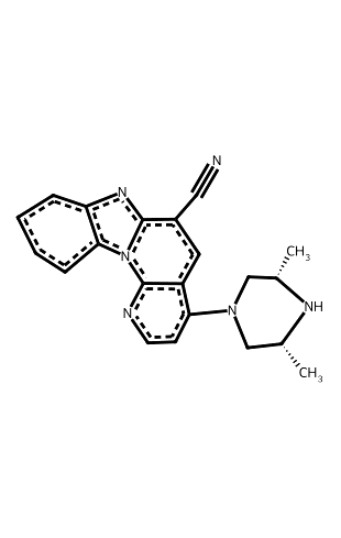 C[C@@H]1CN(c2ccnc3c2cc(C#N)c2nc4ccccc4n23)C[C@H](C)N1